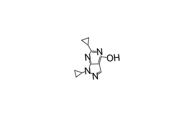 Oc1nc(C2CC2)nc2c1cnn2C1CC1